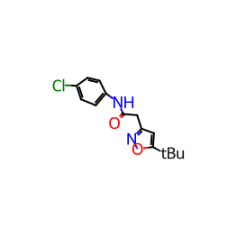 CC(C)(C)c1cc(CC(=O)Nc2ccc(Cl)cc2)no1